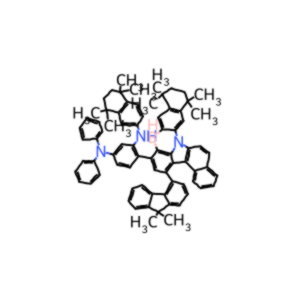 CC1(C)CCC(C)(C)c2cc(Nc3cc(N(c4ccccc4)c4ccccc4)ccc3-c3cc(-c4cccc5c4-c4ccccc4C5(C)C)c4c5c6ccccc6ccc5n5c4c3Bc3cc4c(cc3-5)C(C)(C)CCC4(C)C)ccc21